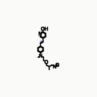 CC(CN=O)COCCN(C)c1ccc(/C=C/c2ccc(O)nc2)cc1